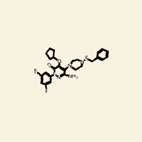 Nc1nn(-c2cc(F)cc(F)c2)c(=O)c(OC2CCCC2)c1N1CCN(SCc2ccccc2)CC1